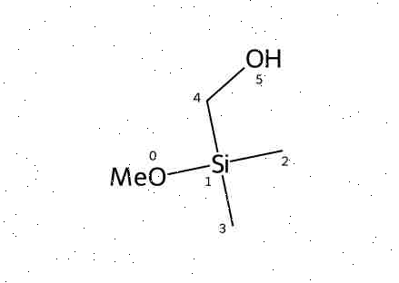 CO[Si](C)(C)CO